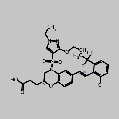 CCOc1nn(CC)cc1S(=O)(=O)N1C[C@H](CCC(=O)O)Oc2ccc(/C=C/c3c(Cl)cccc3C(C)(F)F)cc21